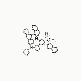 CC1(C)c2cc(N(c3ccc4ccccc4c3-c3cccc4ccccc34)c3cccc4c3c3ccccc3n4-c3ccccc3)ccc2-c2cc3ccccc3cc21